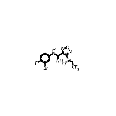 N=C(Nc1ccc(F)c(Br)c1)c1nonc1[S+]([O-])CC(F)(F)F